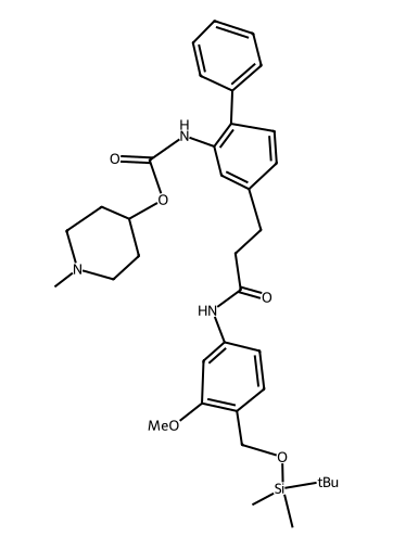 COc1cc(NC(=O)CCc2ccc(-c3ccccc3)c(NC(=O)OC3CCN(C)CC3)c2)ccc1CO[Si](C)(C)C(C)(C)C